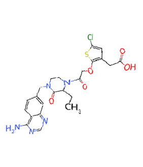 CCC1C(=O)N(Cc2ccc3c(N)ncnc3c2)CCN1C(=O)COc1sc(Cl)cc1CC(=O)O